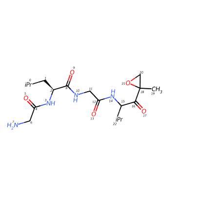 CC(C)C[C@H](NC(=O)CN)C(=O)NCC(=O)NC(C(=O)C1(C)CO1)C(C)C